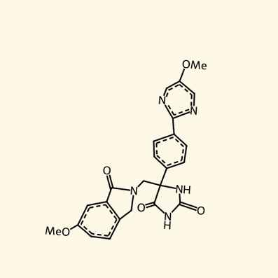 COc1cnc(-c2ccc(C3(CN4Cc5ccc(OC)cc5C4=O)NC(=O)NC3=O)cc2)nc1